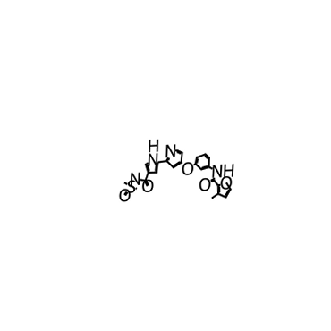 Cc1ccoc1C(=O)Nc1cccc(Oc2ccnc(-c3cc(C(=O)N=S(C)(C)=O)c[nH]3)c2)c1